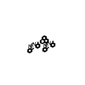 C1=Cc2cccc3cccc(c23)C1.Cc1ccccc1N=C=Nc1ccccc1C.Cc1ccccc1N=C=Nc1ccccc1C